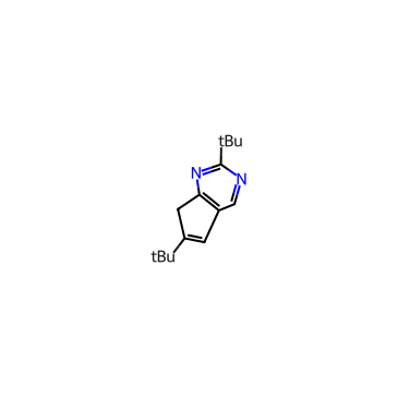 CC(C)(C)C1=Cc2cnc(C(C)(C)C)nc2C1